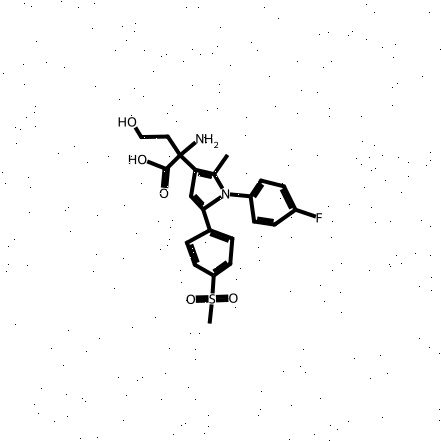 Cc1c(C(N)(CCO)C(=O)O)cc(-c2ccc(S(C)(=O)=O)cc2)n1-c1ccc(F)cc1